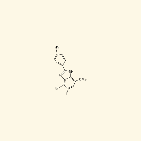 COc1cc(I)c(Br)c2nc(-c3ccc(C(C)C)cc3)[nH]c12